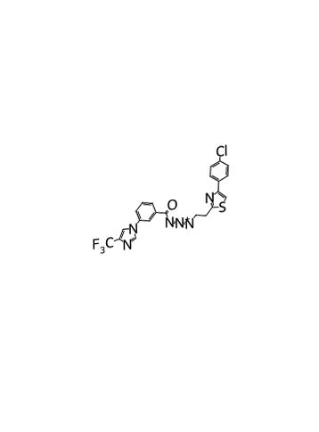 O=C(N=[N+]=NCCc1nc(-c2ccc(Cl)cc2)cs1)c1cccc(-n2cnc(C(F)(F)F)c2)c1